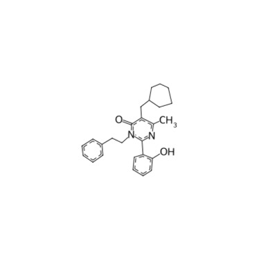 Cc1nc(-c2ccccc2O)n(CCc2ccccc2)c(=O)c1CC1CCCCC1